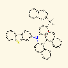 CC1(C)c2ccc(N(c3ccc4c(c3)sc3ccccc34)c3ccc4ccccc4c3-c3cccc4ccccc34)cc2-c2c1ccc1ccccc21